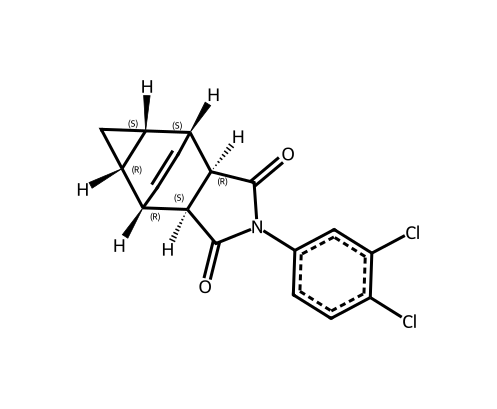 O=C1[C@@H]2[C@@H]3C=C[C@@H]([C@@H]4C[C@H]34)[C@@H]2C(=O)N1c1ccc(Cl)c(Cl)c1